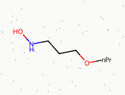 CCCOCCCNO